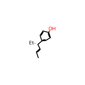 C/C=C/[C@H](CC)c1ccc(O)cc1